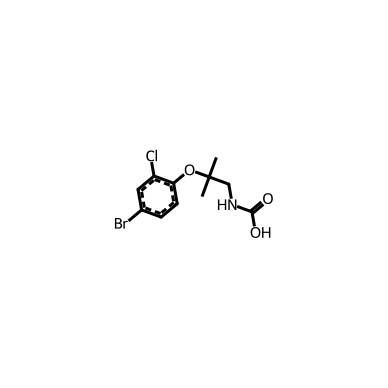 CC(C)(CNC(=O)O)Oc1ccc(Br)cc1Cl